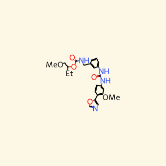 CCC(COC)OC(=O)NCc1cccc(NC(=O)Nc2ccc(-c3cnco3)c(OC)c2)c1